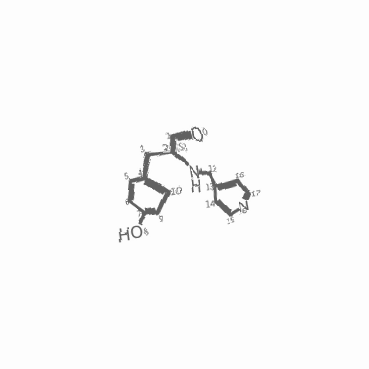 O=C[C@H](Cc1ccc(O)cc1)NCc1ccncc1